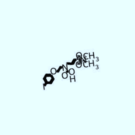 CN(C)S(=O)(=O)C=CCN(CCOc1ccc(I)cc1)C(=O)O